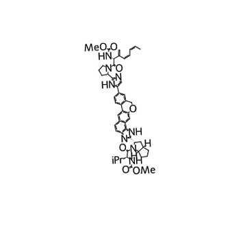 C=C(/C=C\C=C/C)[C@@H](NC(=O)OC)C(=O)N1CCCC1c1ncc(-c2ccc3c(c2)COc2cc4c(ccc5nc([C@@H]6C[C@@H]7CCC[C@@H]7N6C(=O)[C@@H](NC(=O)OC)C(C)C)[nH]c54)cc2-3)[nH]1